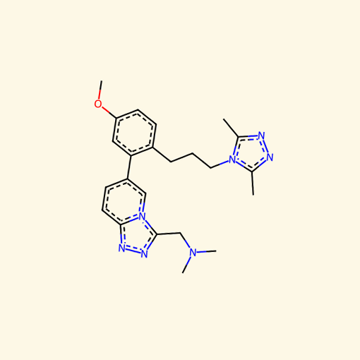 COc1ccc(CCCn2c(C)nnc2C)c(-c2ccc3nnc(CN(C)C)n3c2)c1